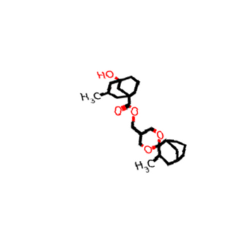 CC1CC2(O)CCCC(C(=O)OCC3COC4(OC3)C(C)CC3CCCC4C3)(C1)C2